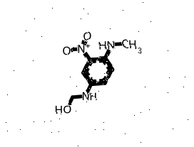 CNc1ccc(NCO)cc1[N+](=O)[O-]